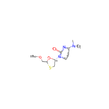 CCN(C)c1ccn([C@@H]2CSC(COC(C)(C)C)O2)c(=O)n1